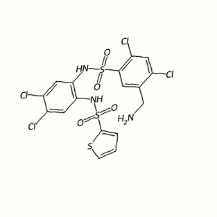 NCc1cc(S(=O)(=O)Nc2cc(Cl)c(Cl)cc2NS(=O)(=O)c2cccs2)c(Cl)cc1Cl